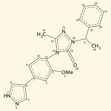 COc1cc(-c2cn[nH]c2)ccc1-n1c(C)nn(C(C)c2ccccc2)c1=O